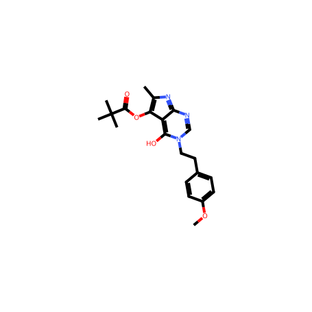 COc1ccc(CCn2cnc3nc(C)c(OC(=O)C(C)(C)C)c-3c2O)cc1